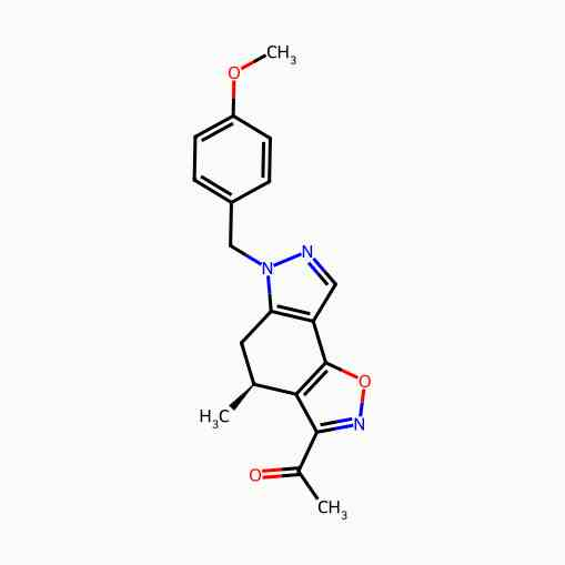 COc1ccc(Cn2ncc3c2C[C@H](C)c2c(C(C)=O)noc2-3)cc1